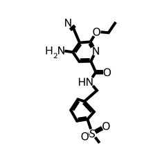 CCOc1nc(C(=O)NCc2cccc(S(C)(=O)=O)c2)cc(N)c1C#N